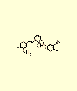 C[n+]1c(/C=C/c2ccc(F)c(N)c2)cccc1/C=C/c1ccc(F)c(C#N)c1